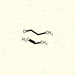 CCCCl.[CH2]C=C